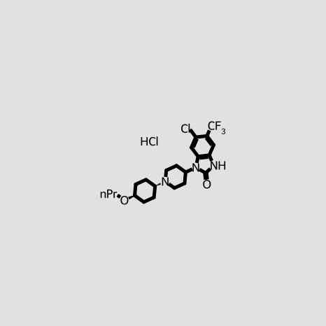 CCCO[C@H]1CC[C@H](N2CCC(n3c(=O)[nH]c4cc(C(F)(F)F)c(Cl)cc43)CC2)CC1.Cl